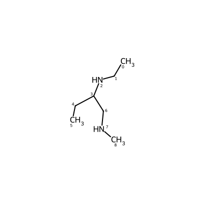 CCNC(CC)CNC